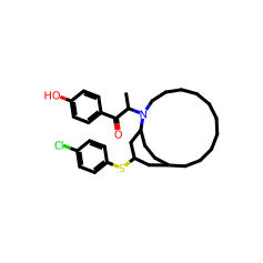 CC(C(=O)c1ccc(O)cc1)N1CCCCCCCCCCC2CCC1CC(Sc1ccc(Cl)cc1)C2